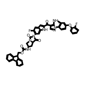 Cc1cc(Oc2ccccc2F)ccc1-n1ncc(C(=O)c2cc3cc(F)c(N4C(=O)C5CC(NC(=O)OCC6c7ccccc7-c7ccccc76)CN5C4=O)cc3[nH]2)c1N